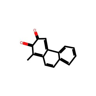 CC1=c2ccc3ccccc3c2=CC(=O)C1=O